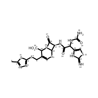 Cc1nnc(SCC2=CSC3[C@H](NC(=O)C(NC(N)=O)c4csc(=N)[nH]4)C(=O)N3C2C(=O)O)s1